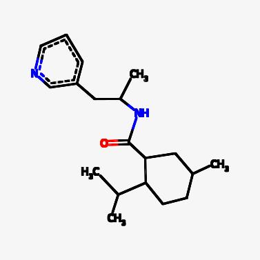 CC1CCC(C(C)C)C(C(=O)NC(C)Cc2cccnc2)C1